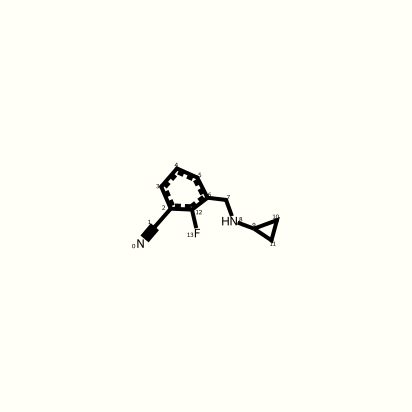 N#Cc1cccc(CNC2CC2)c1F